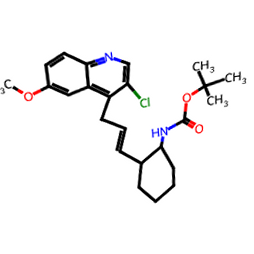 COc1ccc2ncc(Cl)c(CC=CC3CCCCC3NC(=O)OC(C)(C)C)c2c1